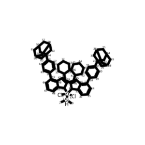 C[SiH](C)[Zr]([Cl])([Cl])([CH]1C(CC2CCCCC2)=Cc2c(-c3ccc(C45CC6CC(CC(C6)C4)C5)cc3)cccc21)[CH]1C(CC2CCCCC2)=Cc2c(-c3ccc(C45CC6CC(CC(C6)C4)C5)cc3)cccc21